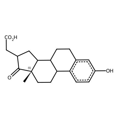 C[C@]12CCC3c4ccc(O)cc4CCC3C1CC(CC(=O)O)C2=O